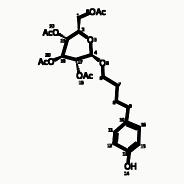 CC(=O)OC[C@H]1O[C@@H](OCCCCc2ccc(O)cc2)[C@H](OC(C)=O)[C@@H](OC(C)=O)[C@@H]1OC(C)=O